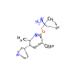 COc1cc(-c2ccncc2)c(C)nc1OCC(C)(N)CC(C)C